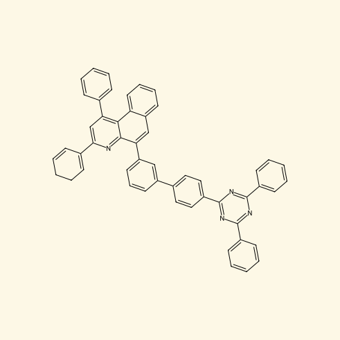 C1=CC(c2cc(-c3ccccc3)c3c(n2)c(-c2cccc(-c4ccc(-c5nc(-c6ccccc6)nc(-c6ccccc6)n5)cc4)c2)cc2ccccc23)=CCC1